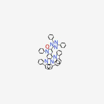 O=c1c(-c2nc(-c3ccccc3)nc(-c3ccccc3)n2)cc2c(-n3c4ccccc4c4ccccc43)c(-n3c4ccccc4c4ccccc43)c(-n3c4ccccc4c4ccccc43)cc2n1-c1ccccc1